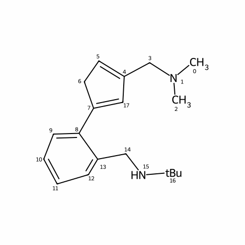 CN(C)CC1=CCC(c2ccccc2CNC(C)(C)C)=C1